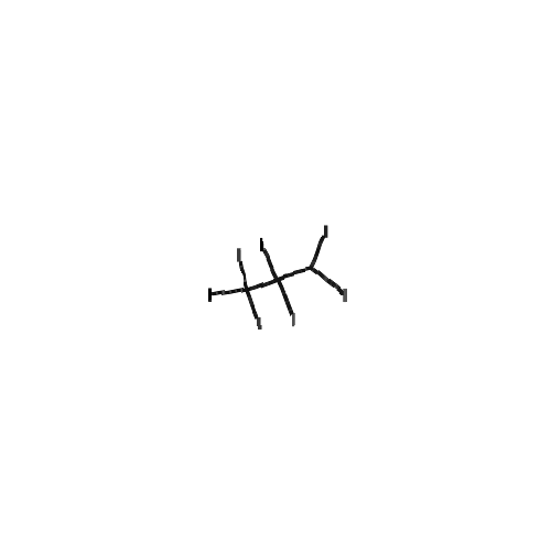 IC(I)C(I)(I)C(I)(I)I